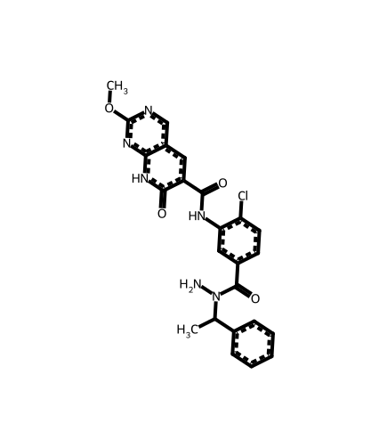 COc1ncc2cc(C(=O)Nc3cc(C(=O)N(N)C(C)c4ccccc4)ccc3Cl)c(=O)[nH]c2n1